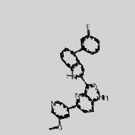 COc1cncc(-c2ccc3[nH]nc(-c4cc5c(-c6cccc(F)c6)cccc5[nH]4)c3n2)c1